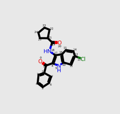 O=C(c1ccccc1)c1[nH]c2cc(Cl)ccc2c1NC(=O)C1CCCC1